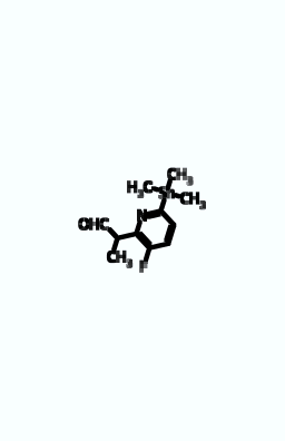 CC(C=O)c1n[c]([Sn]([CH3])([CH3])[CH3])ccc1F